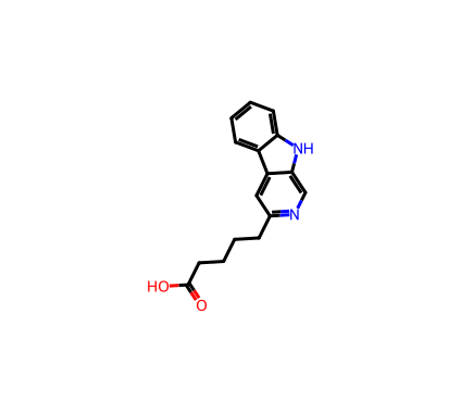 O=C(O)CCCCc1cc2c(cn1)[nH]c1ccccc12